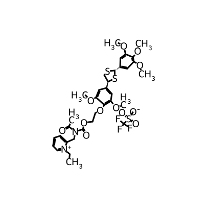 CC[n+]1ccccc1CN(C(C)=O)C(=O)OCCOc1c(OC)cc([C@H]2CS[C@H](c3cc(OC)c(OC)c(OC)c3)S2)cc1OC.O=S(=O)([O-])C(F)(F)F